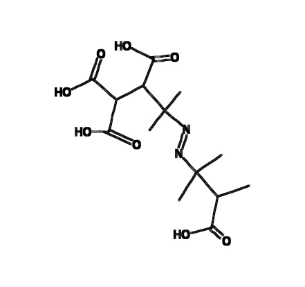 CC(C(=O)O)C(C)(C)N=NC(C)(C)C(C(=O)O)C(C(=O)O)C(=O)O